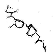 BCC(=O)Nc1ccc(-c2ccc(CC(=O)OCC)cc2)cc1Cl